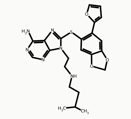 CC(C)CCNCCn1c(Sc2cc3c(cc2-c2ccco2)OCO3)nc2c(N)ncnc21